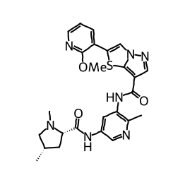 COc1ncccc1-c1cn2ncc(C(=O)Nc3cc(NC(=O)[C@@H]4C[C@H](C)CN4C)cnc3C)c2s1